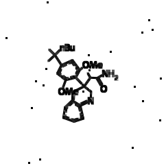 CCCCC(C)(C)c1cc(OC)c(C2(C(C)C(N)=O)C=c3ccccc3=NC2)c(OC)c1